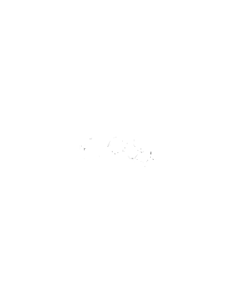 O=C(Nc1ccc2sncc2c1)C1CCNC1